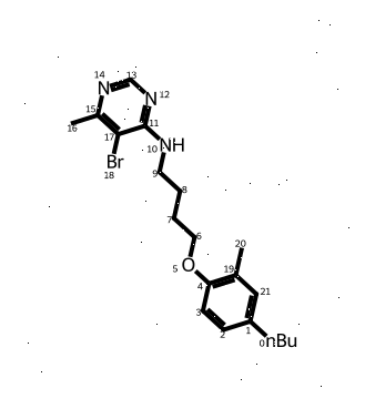 CCCCc1ccc(OCCCCNc2ncnc(C)c2Br)c(C)c1